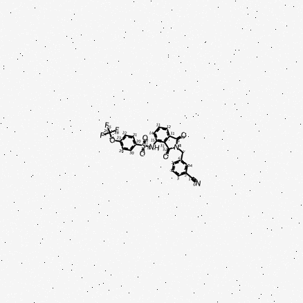 N#Cc1cccc(CN2C(=O)c3cccc(NS(=O)(=O)c4ccc(OC(F)(F)F)cc4)c3C2=O)c1